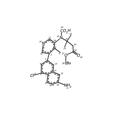 Cc1c(-c2cc(Cl)c3cnc(N)cc3c2)cncc1N(C(=O)O)C(C)(C)CC(=O)OC(C)(C)C